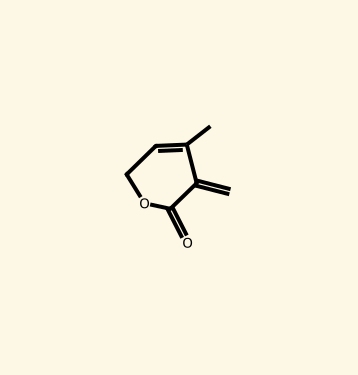 C=C1C(=O)OCC=C1C